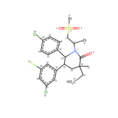 CCC(CS(=O)(=O)CC)N1C(=O)C(C)(CC(=O)O)CC(c2cc(F)cc(Cl)c2)C1c1ccc(Cl)cc1